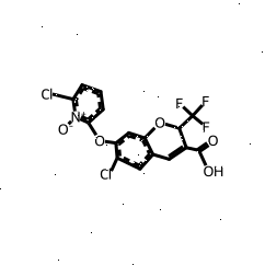 O=C(O)C1=Cc2cc(Cl)c(Oc3cccc(Cl)[n+]3[O-])cc2OC1C(F)(F)F